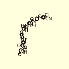 N#Cc1ccc(O[C@H]2CC[C@H](NC(=O)c3ccc(N4C[C@H]5C[C@@H](CN6CC7CN(c8cc9c(cc8F)C(=O)N(C8CCC(=O)NC8=O)C9=O)CC7C6)C[C@H]5C4)nn3)CC2)cc1Cl